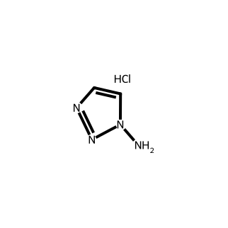 Cl.Nn1ccnn1